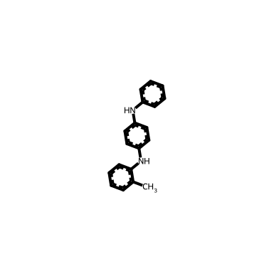 Cc1ccccc1Nc1ccc(Nc2ccccc2)cc1